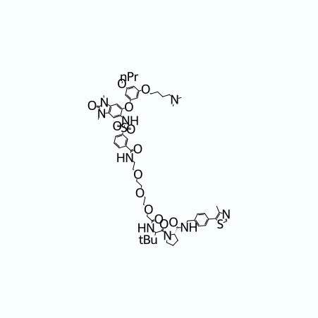 CCCOc1cc(OCCCCN(C)C)cc(Oc2cc3c(cc2NS(=O)(=O)c2cccc(C(=O)NCCOCCOCCOCC(=O)NC(C(=O)N4CCC[C@H]4C(=O)NCc4ccc(-c5scnc5C)cc4)C(C)(C)C)c2)n(C)c(=O)n3C)c1